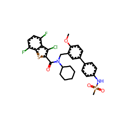 COc1ccc(-c2ccc(NS(C)(=O)=O)cc2)cc1CN(C(=O)c1sc2c(F)ccc(F)c2c1Cl)C1CCCCC1